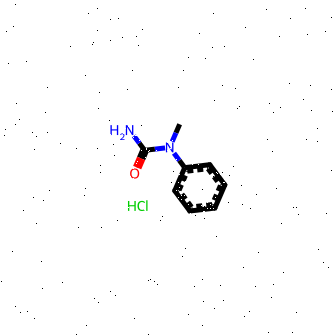 CN(C(N)=O)c1ccccc1.Cl